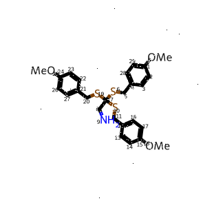 COc1ccc(CSC(CN)(SCc2ccc(OC)cc2)SCc2ccc(OC)cc2)cc1